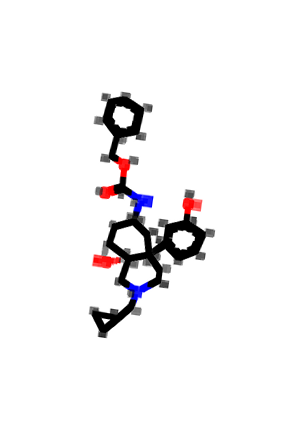 O=C(N[C@@H]1CC[C@]2(O)CN(CC3CC3)CC[C@@]2(c2cccc(O)c2)C1)OCc1ccccc1